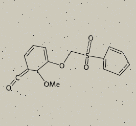 COC1C(=C=O)C=CC=C1OCS(=O)(=O)c1ccccc1